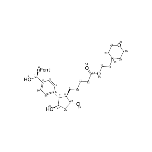 CCCCC[C@H](O)c1ccc([C@@H]2[C@@H](CCCCC(=O)OCCN3CCOCC3)[C@H](Cl)C[C@H]2O)cc1